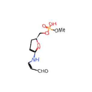 COP(=O)(O)OC[C@@H]1CC[C@H](N/C=C\C=O)O1